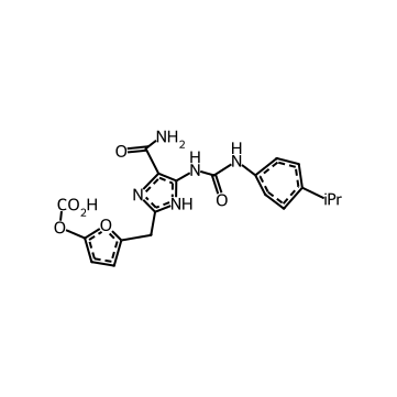 CC(C)c1ccc(NC(=O)Nc2[nH]c(Cc3ccc(OC(=O)O)o3)nc2C(N)=O)cc1